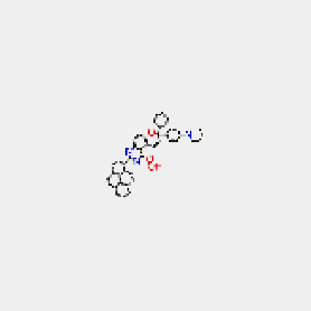 OOc1nc(-c2ccc3ccc4cccc5ccc2c3c45)nc2ccc3c(c12)C=CC(c1ccccc1)(c1ccc(N2CCCCC2)cc1)O3